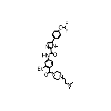 CCc1cc(NC(=O)c2ncc(-c3ccc(OC(F)F)cc3)n2C)ccc1C(=O)N1CCN(CCN(C)C)CC1